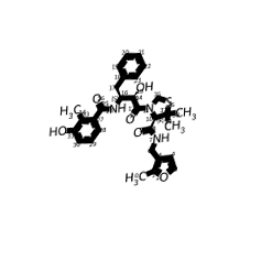 Cc1occc1CNC(=O)[C@H]1N(C(=O)[C@@H](O)[C@H](Cc2ccccc2)NC(=O)c2cccc(O)c2C)CSC1(C)C